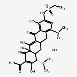 CCS(=O)(=O)Nc1cc(N(C)C)c2c(c1O)C(=O)C1=C(O)C3(O)C(=O)C(C(N)=O)=C(O)[C@@H](N(C)C)C3CC1C2.Cl